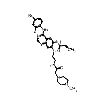 C=CC(=O)Nc1cc2c(Nc3ccc(Br)cc3F)ncnc2cc1OCCNC(=O)CN1CCN(C)CC1